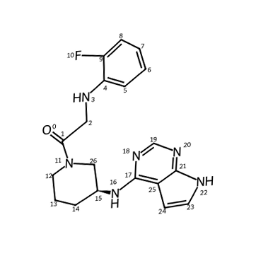 O=C(CNc1ccccc1F)N1CCC[C@H](Nc2ncnc3[nH]ccc23)C1